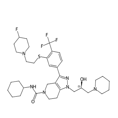 O=C(NC1CCCCC1)N1CCc2c(c(-c3ccc(C(F)(F)F)c(SCCN4CCC(F)CC4)c3)nn2C[C@@H](O)CN2CCCCC2)C1